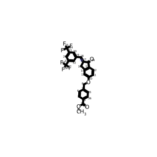 COC(=O)c1ccc(COc2ccc3c(c2)C/C(=C\c2cc(C(F)(F)F)cc(C(F)(F)F)c2)C3=O)cc1